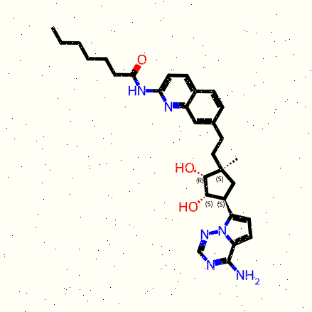 CCCCCCC(=O)Nc1ccc2ccc(CC[C@@]3(C)C[C@@H](c4ccc5c(N)ncnn45)[C@H](O)[C@@H]3O)cc2n1